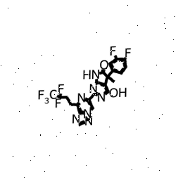 CC1(c2ccc(F)c(F)c2)C(=O)Nc2nc(-c3cn4ncnc4c(CCC(F)(F)C(F)(F)F)n3)nc(O)c21